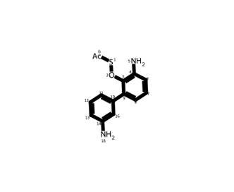 CC(=O)SOc1c(N)cccc1-c1cccc(N)c1